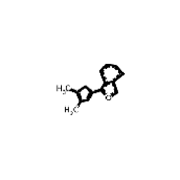 CC1=C(C)C=C(c2occ3ccccc23)[CH]1